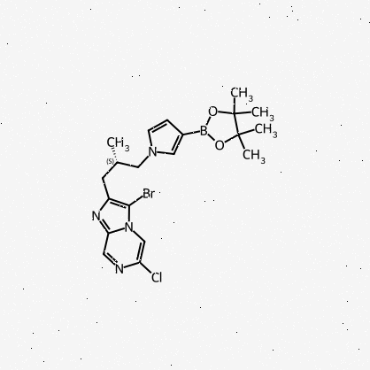 C[C@@H](Cc1nc2cnc(Cl)cn2c1Br)Cn1ccc(B2OC(C)(C)C(C)(C)O2)c1